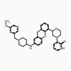 COc1cncc(CN2CCC(Nc3ccc4c(c3)Cc3cccc(C5CN(c6ccc[nH]c6=O)CCO5)c3O4)CC2)n1